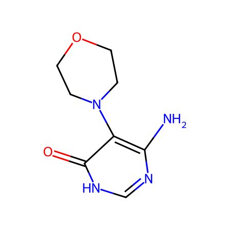 Nc1nc[nH]c(=O)c1N1CCOCC1